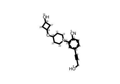 N#Cc1ccc(C#CCO)cc1N1CCC(OC2CC(O)C2)CC1